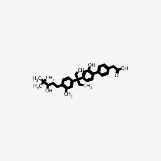 CCC(CC)(c1ccc(CCC(O)C(C)(C)C)c(C)c1)c1ccc(-c2ccc(CC(=O)O)cc2)c(O)c1